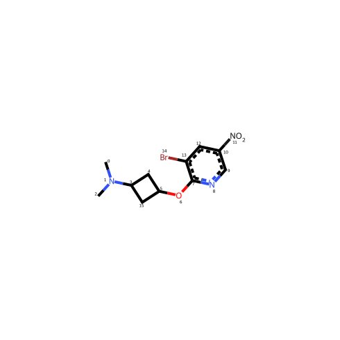 CN(C)C1CC(Oc2ncc([N+](=O)[O-])cc2Br)C1